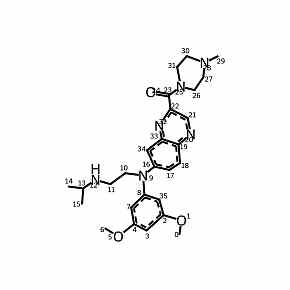 COc1cc(OC)cc(N(CCNC(C)C)c2ccc3ncc(C(=O)N4CCN(C)CC4)nc3c2)c1